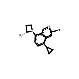 C[C@@H]1CCN1c1ncc(C2CC2)c2cc(Cl)ncc12